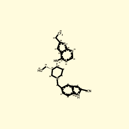 N#Cc1cc2cc(CN3CC[C@@H](Nc4ncnc5sc(CC(F)(F)F)cc45)[C@@H](CO)C3)ccc2[nH]1